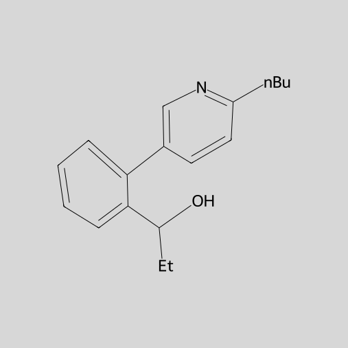 CCCCc1ccc(-c2ccccc2C(O)CC)cn1